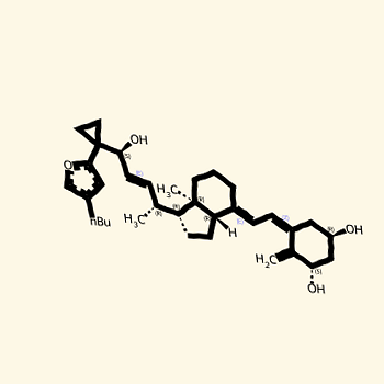 C=C1/C(=C\C=C2/CCC[C@]3(C)[C@@H]([C@H](C)/C=C/[C@H](O)C4(c5cc(CCCC)co5)CC4)CC[C@@H]23)C[C@@H](O)C[C@@H]1O